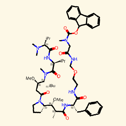 CC[C@H](C)[C@@H]([C@@H](CC(=O)N1CCC[C@H]1[C@H](OC)[C@@H](C)C(=O)N[C@@H](Cc1ccccc1)C(=O)NCCOCNC(=O)CN(C)C(=O)OC1c2ccccc2-c2ccccc21)OC)N(C)C(=O)[C@@H](NC(=O)[C@H](C(C)C)N(C)C)C(C)C